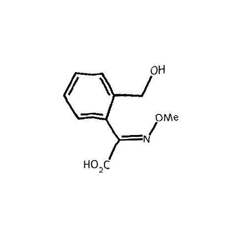 CO/N=C(/C(=O)O)c1ccccc1CO